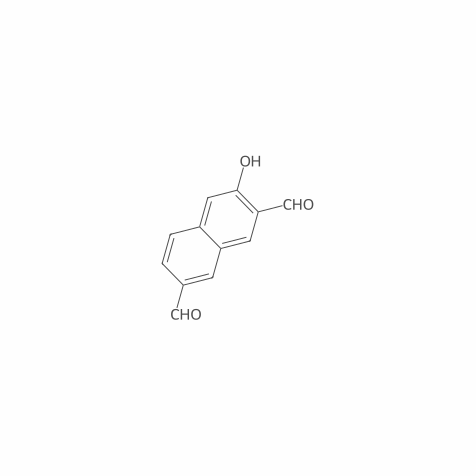 O=Cc1ccc2cc(O)c(C=O)cc2c1